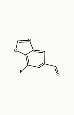 O=Cc1cc(F)c2ocnc2c1